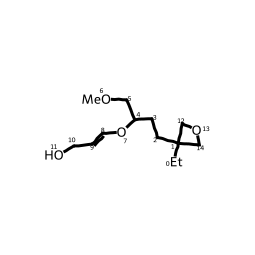 CCC1(CCC(COC)OC=CCO)COC1